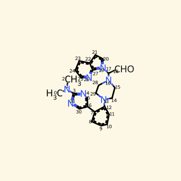 CN(C)c1ncc(-c2ccccc2N2CCN(C(C=O)n3ccc4cccnc43)CC2)cn1